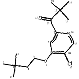 CC(C)(C)CCOc1cc(C(=O)C(C)(C)C)ncc1Cl